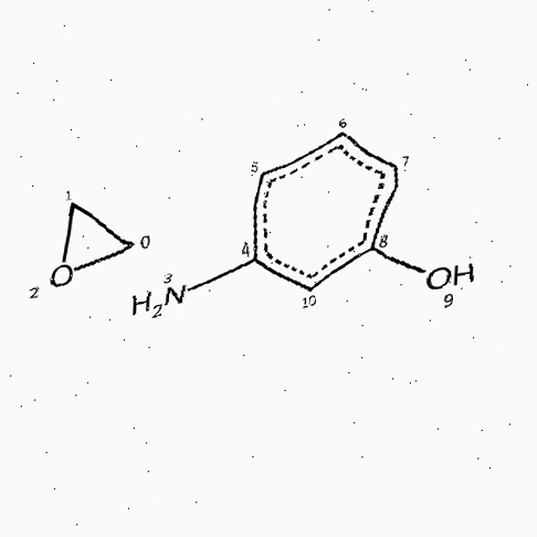 C1CO1.Nc1cccc(O)c1